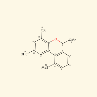 COCOc1c(-c2ccccc2SC)cc(C=O)cc1C(C)(C)C